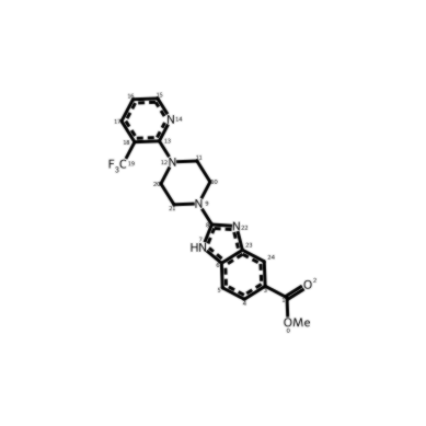 COC(=O)c1ccc2[nH]c(N3CCN(c4ncccc4C(F)(F)F)CC3)nc2c1